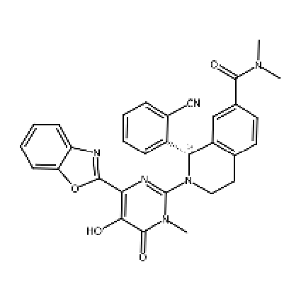 CN(C)C(=O)c1ccc2c(c1)[C@@H](c1ccccc1C#N)N(c1nc(-c3nc4ccccc4o3)c(O)c(=O)n1C)CC2